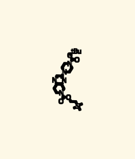 CC(C)(C)OC(=O)N1CCN(c2cnc3c(n2)CN(C(=O)OCC[Si](C)(C)C)CC3)CC1